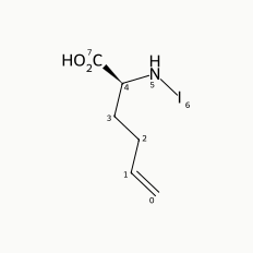 C=CCC[C@H](NI)C(=O)O